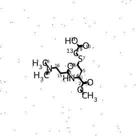 COC(=O)[C@H](CCS[13CH2]C(=O)O)NC(=O)CCN(C)C